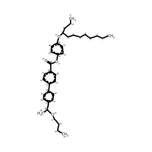 CCCCCCCCC(CCC)Oc1ccc(OC(=O)c2ccc(-c3ccc(C(C)OCCCC)cc3)cc2)cc1